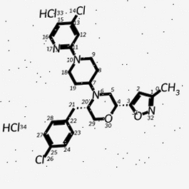 Cc1cc([C@H]2CN(C3CCN(c4cc(Cl)ccn4)CC3)[C@@H](Cc3ccc(Cl)cc3)CO2)on1.Cl.Cl